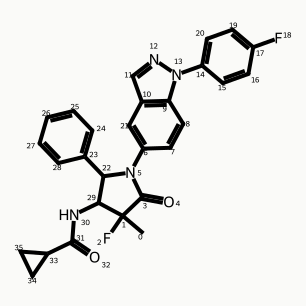 CC1(F)C(=O)N(c2ccc3c(cnn3-c3ccc(F)cc3)c2)C(c2ccccc2)C1NC(=O)C1CC1